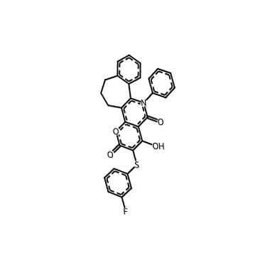 O=c1oc2c3c(n(-c4ccccc4)c(=O)c2c(O)c1Sc1cccc(F)c1)-c1ccccc1CCC3